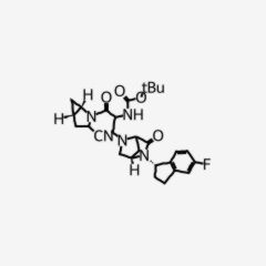 CC(C)(C)OC(=O)NC(CN1C[C@@H]2CC1C(=O)N2[C@H]1CCc2cc(F)ccc21)C(=O)N1C(C#N)C[C@@H]2C[C@@H]21